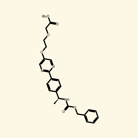 CC(C)COC(=O)COCCOc1cnc(-c2ccc([C@H](C)NC(=O)OCc3ccccc3)cc2)nc1